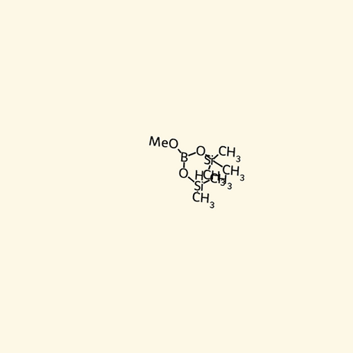 COB(O[SiH](C)C)O[Si](C)(C)C